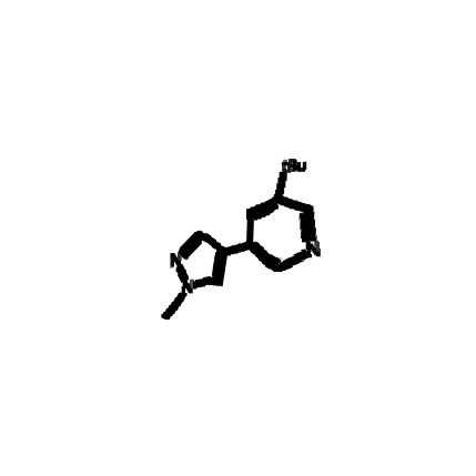 Cn1cc(-c2cncc(C(C)(C)C)c2)cn1